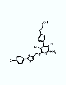 N#Cc1c(N)nc(SCc2csc(-c3ccc(Cl)cc3)n2)c(C#N)c1-c1ccc(OCCO)cn1